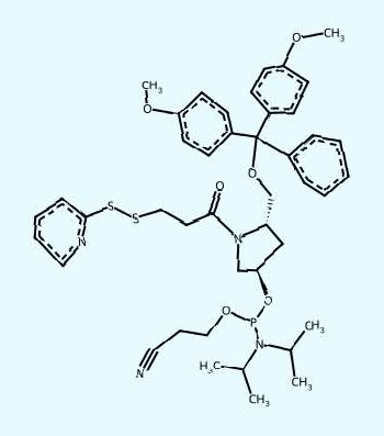 COc1ccc(C(OC[C@@H]2C[C@@H](OP(OCCC#N)N(C(C)C)C(C)C)CN2C(=O)CCSSc2ccccn2)(c2ccccc2)c2ccc(OC)cc2)cc1